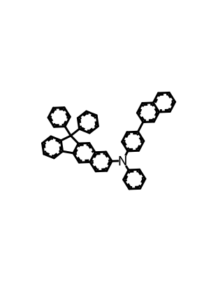 c1ccc(N(c2ccc(-c3ccc4ccccc4c3)cc2)c2ccc3cc4c(cc3c2)C(c2ccccc2)(c2ccccc2)c2ccccc2-4)cc1